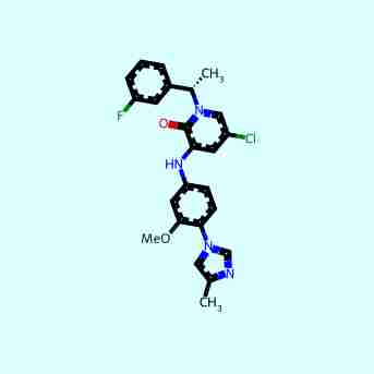 COc1cc(Nc2cc(Cl)cn([C@@H](C)c3cccc(F)c3)c2=O)ccc1-n1cnc(C)c1